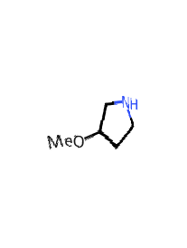 [CH2-][OH+]C1CCNC1